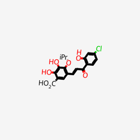 CC(C)Oc1c(/C=C/C(=O)c2ccc(Cl)cc2O)cc(C(=O)O)c(O)c1O